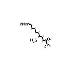 CCCCCCCCCCCCCCCCCC(=O)N(C)C.S